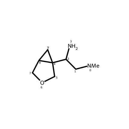 CNCC(N)C12COCC1C2